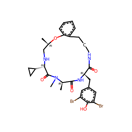 C[C@@H]1CN[C@@H](C2CC2)C(=O)N(C)[C@H](C)C(=O)N[C@H](Cc2cc(Br)c(O)c(Br)c2)C(=O)NCCCc2ccccc2O1